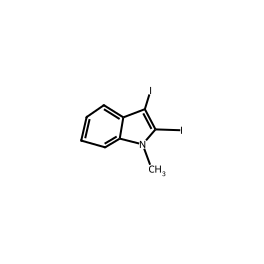 Cn1c(I)c(I)c2ccccc21